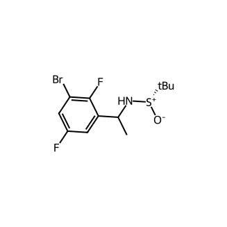 CC(N[S@@+]([O-])C(C)(C)C)c1cc(F)cc(Br)c1F